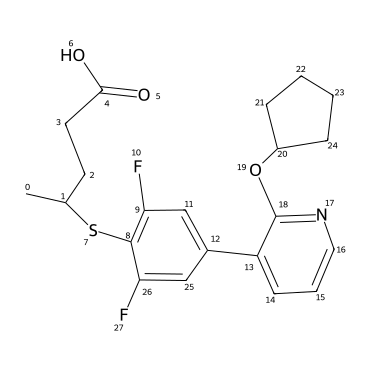 CC(CCC(=O)O)Sc1c(F)cc(-c2cccnc2OC2CCCC2)cc1F